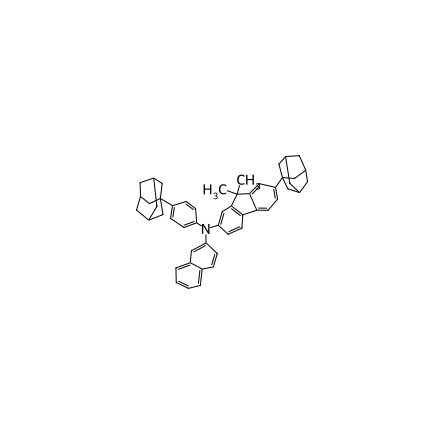 CC1(C)c2cc(N(c3ccc(C45CC6CC(CC(C6)C4)C5)cc3)c3ccc4ccccc4c3)ccc2-c2ccc(C34CC5CC(CC(C5)C3)C4)cc21